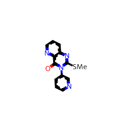 CSc1nc2cccnc2c(=O)n1-c1cccnc1